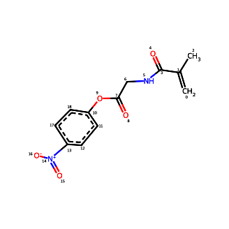 C=C(C)C(=O)NCC(=O)Oc1ccc([N+](=O)[O-])cc1